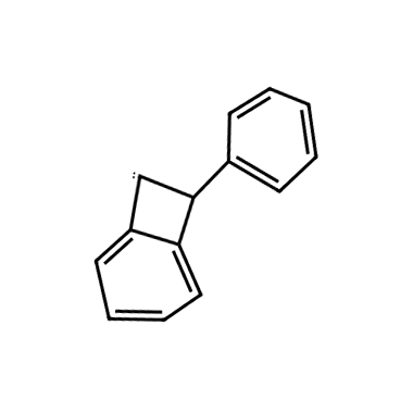 [C]1c2ccccc2C1c1ccccc1